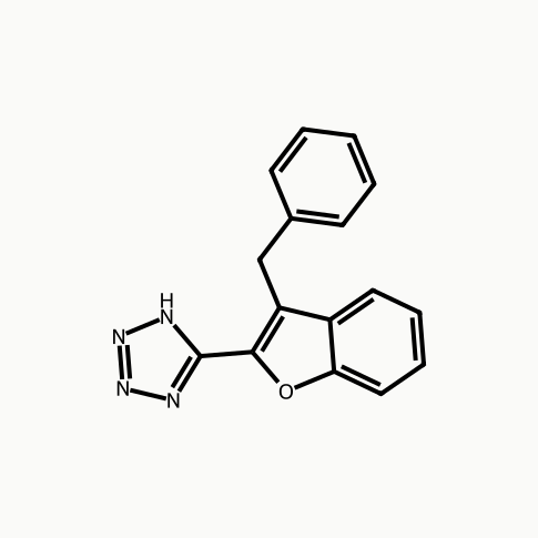 c1ccc(Cc2c(-c3nnn[nH]3)oc3ccccc23)cc1